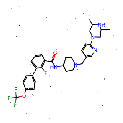 CC1CN(c2ccc(CN3CCC(NC(=O)c4cccc(-c5ccc(OC(F)(F)F)cc5)c4F)CC3)cn2)CC(C)N1